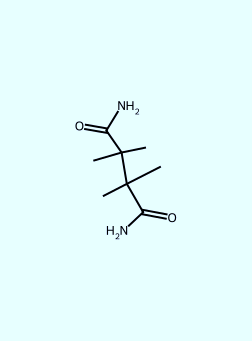 CC(C)(C(N)=O)C(C)(C)C(N)=O